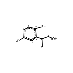 [CH2]C(CO)c1cc(F)ccc1F